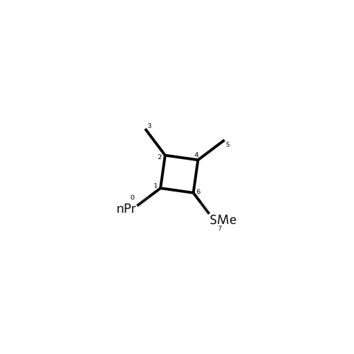 CCCC1C(C)C(C)C1SC